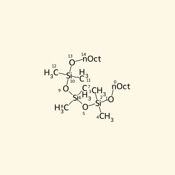 CCCCCCCCO[Si](C)(C)O[Si](C)(C)O[Si](C)(C)OCCCCCCCC